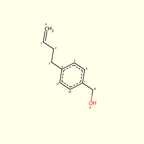 C=CCCc1ccc(CO)cc1